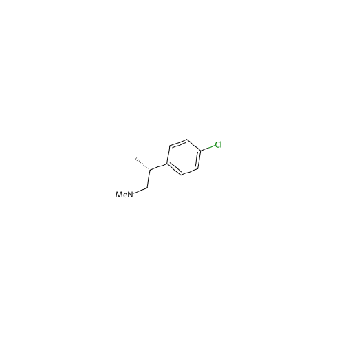 CNC[C@H](C)c1ccc(Cl)cc1